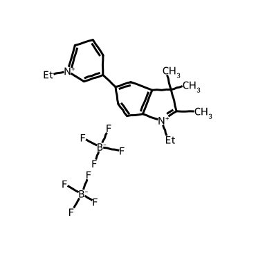 CC[N+]1=C(C)C(C)(C)c2cc(-c3ccc[n+](CC)c3)ccc21.F[B-](F)(F)F.F[B-](F)(F)F